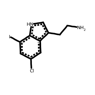 NCCc1c[nH]c2c(I)cc(Cl)cc12